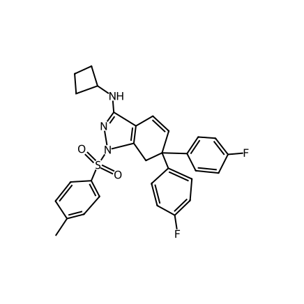 Cc1ccc(S(=O)(=O)n2nc(NC3CCC3)c3c2CC(c2ccc(F)cc2)(c2ccc(F)cc2)C=C3)cc1